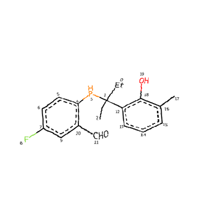 CCC(C)(Pc1ccc(F)cc1C=O)c1cccc(C)c1O